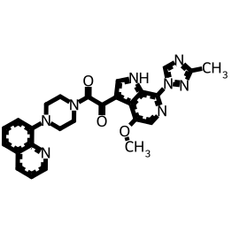 COc1cnc(-n2cnc(C)n2)c2[nH]cc(C(=O)C(=O)N3CCN(c4cccc5cccnc45)CC3)c12